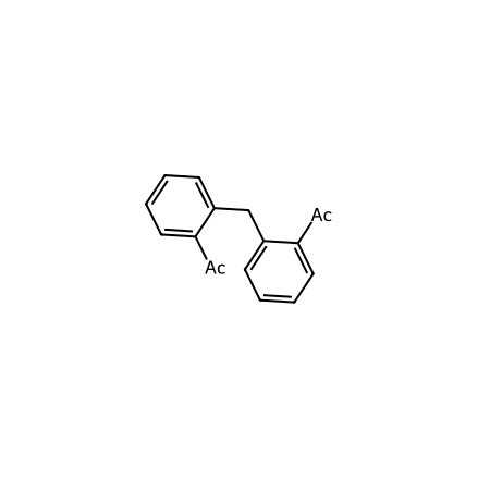 CC(=O)c1ccccc1Cc1ccccc1C(C)=O